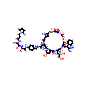 CC[C@H](C)[C@@H]1NC(=O)CNC(=O)[C@H](Cc2c(SC)[nH]c3ccccc23)NC(=O)[C@H]([C@@H](C)[C@@H](O)CO)NC(=O)[C@@H]2C[C@@H](O)CN2C(=O)[C@H](CC(=O)NCc2ccc(NC(=O)[C@H](C)NC(=O)C(NC(=O)CCN3C(=O)C=CC3=O)C(C)C)cc2)NC(=O)C2C=C(CNC1=O)N2